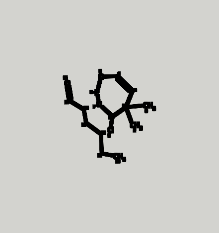 CC1(C)C=CO[P]OC1Cl.CCCCCC=O